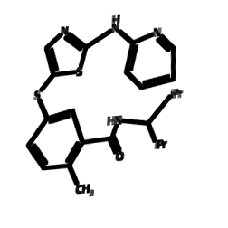 Cc1ccc(Sc2cnc(Nc3ccccn3)s2)cc1C(=O)NC(C(C)C)C(C)C